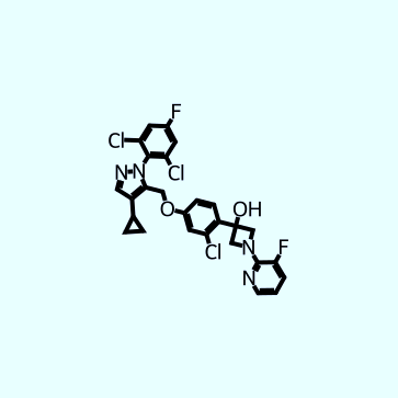 OC1(c2ccc(OCc3c(C4CC4)cnn3-c3c(Cl)cc(F)cc3Cl)cc2Cl)CN(c2ncccc2F)C1